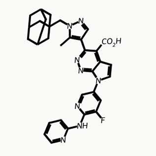 Cc1c(-c2nnc3c(ccn3-c3cnc(Nc4ccccn4)c(F)c3)c2C(=O)O)cnn1CC12CC3CC(CC(C3)C1)C2